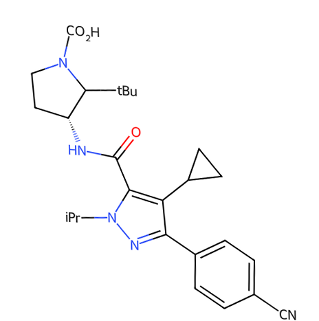 CC(C)n1nc(-c2ccc(C#N)cc2)c(C2CC2)c1C(=O)N[C@@H]1CCN(C(=O)O)C1C(C)(C)C